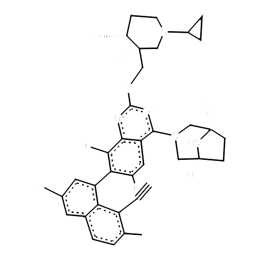 C#Cc1c(F)ccc2cc(O)cc(-c3c(F)cc4c(N5C[C@H]6CC[C@@H](C5)N6)nc(OC[C@]5(C)CN(C6CC6)CC[C@H]5F)nc4c3F)c12